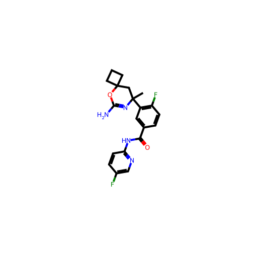 CC1(c2cc(C(=O)Nc3ccc(F)cn3)ccc2F)CC2(CCC2)OC(N)=N1